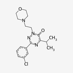 CC(C)c1nc(-c2cccc(Cl)c2)nn(CCN2CCOCC2)c1=O